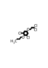 CCCCOc1c(Cl)cc(OCC=C(Cl)Cl)cc1Cl